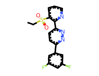 CCS(=O)(=O)c1cccnc1-c1ccc(-c2cc(F)cc(F)c2)nn1